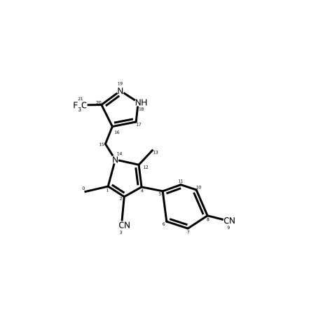 Cc1c(C#N)c(-c2ccc(C#N)cc2)c(C)n1Cc1c[nH]nc1C(F)(F)F